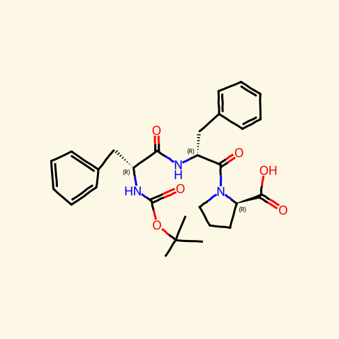 CC(C)(C)OC(=O)N[C@H](Cc1ccccc1)C(=O)N[C@H](Cc1ccccc1)C(=O)N1CCC[C@@H]1C(=O)O